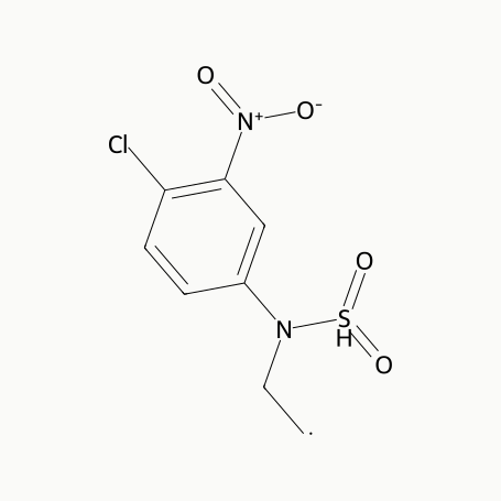 [CH2]CN(c1ccc(Cl)c([N+](=O)[O-])c1)[SH](=O)=O